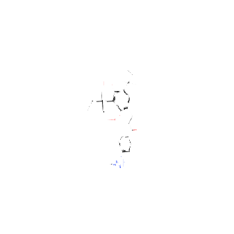 CCC(C)(C)c1cc(/C=C/C(=O)c2ccc(NC)cc2)c(OC)c(C(C)(C)CC)c1O